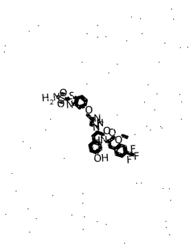 CCOC(=O)C(Cc1ccc(C(F)(F)F)cc1)NC(=O)C(Cc1ccc(O)cc1)n1cc(COc2ccc3sc(S(N)(=O)=O)nc3c2)nn1